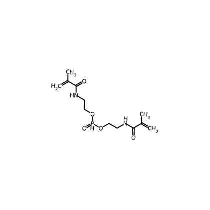 C=C(C)C(=O)NCCO[PH](=O)OCCNC(=O)C(=C)C